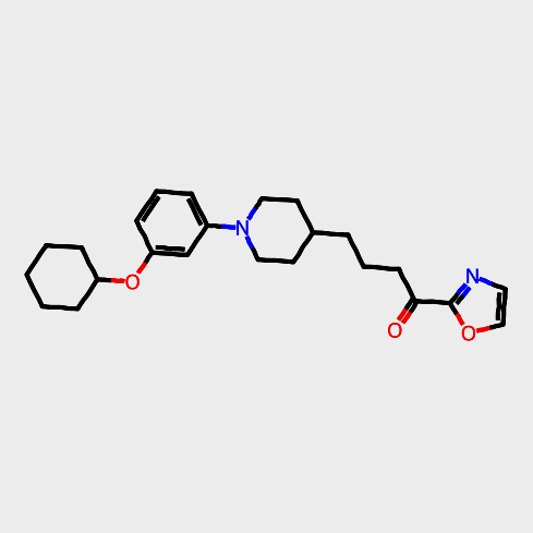 O=C(CCCC1CCN(c2cccc(OC3CCCCC3)c2)CC1)c1ncco1